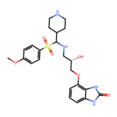 COc1ccc(S(=O)(=O)C(NC[C@H](O)COc2cccc3[nH]c(=O)[nH]c23)C2CCNCC2)cc1